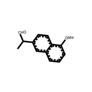 COc1cccc2cc(C(C)C=O)ccc12